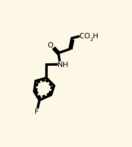 O=C(O)/C=C/C(=O)NCc1ccc(F)cc1